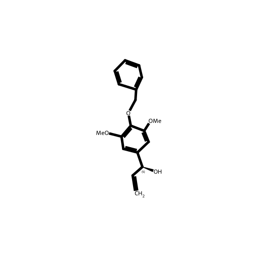 C=C[C@H](O)c1cc(OC)c(OCc2ccccc2)c(OC)c1